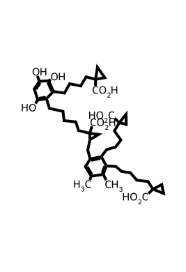 Cc1cc(CC2CC2(CCCCCc2c(O)cc(O)c(O)c2CCCCC2(C(=O)O)CC2)C(=O)O)c(CCCCC2(C(=O)O)CC2)c(CCCCCC2(C(=O)O)CC2)c1C